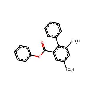 O=C(O)c1cc(S(=O)(=O)O)cc(C(=O)Oc2ccccc2)c1-c1ccccc1